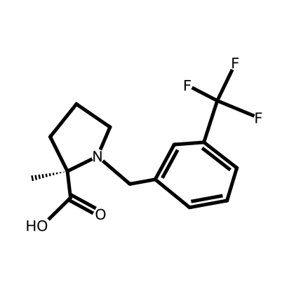 C[C@]1(C(=O)O)CCCN1Cc1cccc(C(F)(F)F)c1